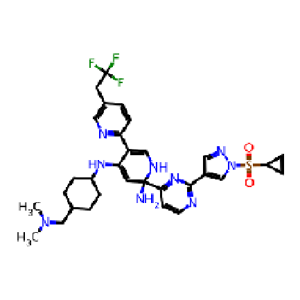 CN(C)CC1CCC(NC2=CC(N)(c3ccnc(-c4cnn(S(=O)(=O)C5CC5)c4)n3)NC=C2c2ccc(CC(F)(F)F)cn2)CC1